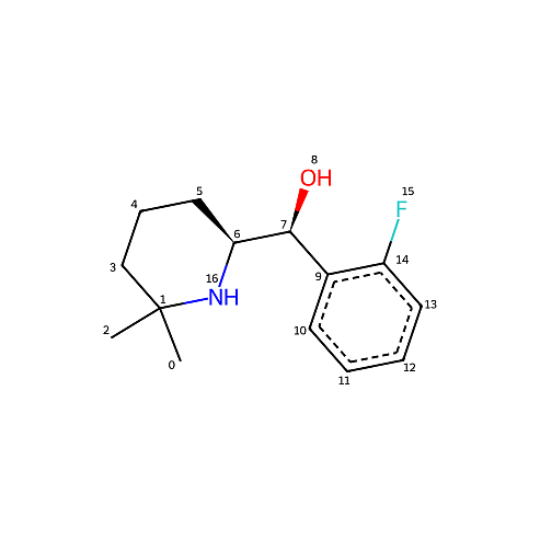 CC1(C)CCC[C@@H]([C@@H](O)c2ccccc2F)N1